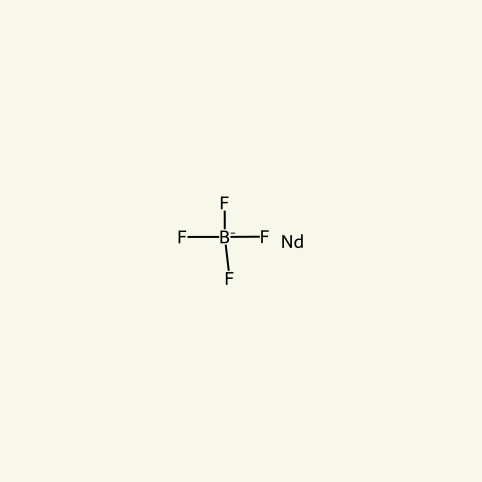 F[B-](F)(F)F.[Nd]